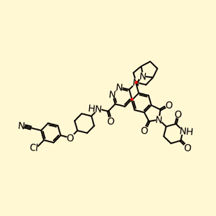 N#Cc1ccc(OC2CCC(NC(=O)c3ccc(N4CC5CCC(C4)N5Cc4ccc5c(c4)C(=O)N(C4CCC(=O)NC4=O)C5=O)nn3)CC2)cc1Cl